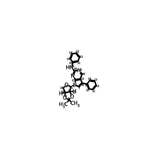 CC1(C)O[C@H]2[C@H](n3cc(-c4ccccc4)c4cnc(Nc5ccccc5)nc43)OC[C@H]2O1